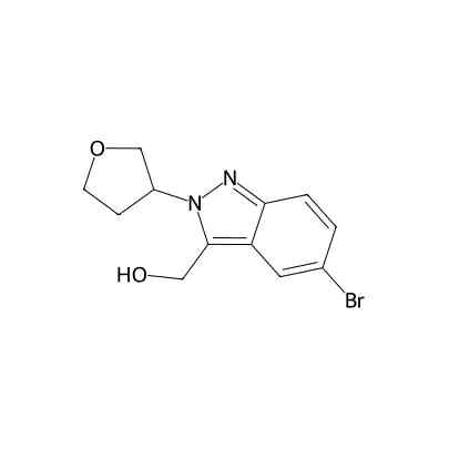 OCc1c2cc(Br)ccc2nn1C1CCOC1